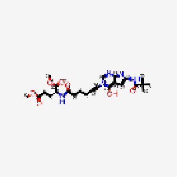 COC(=O)CC[C@H](NC(=O)CCCC#Cn1cnc2nc(NC(=O)C(C)(C)C)cc-2c1O)C(=O)OC